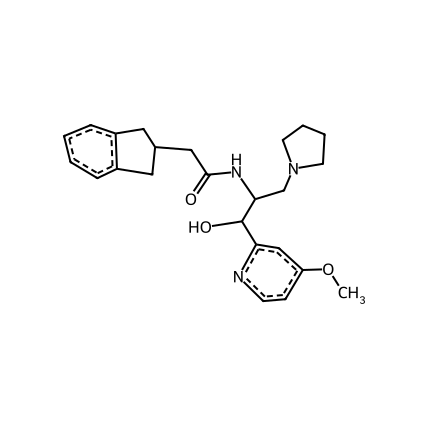 COc1ccnc(C(O)C(CN2CCCC2)NC(=O)CC2Cc3ccccc3C2)c1